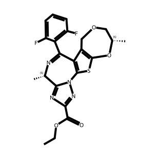 CCOC(=O)c1nc2n(n1)-c1sc3c(c1C(c1c(F)cccc1F)=N[C@H]2C)COC[C@H](C)O3